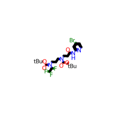 CC(C)(C)OC(=O)N(CCCN(C(=O)OC(C)(C)C)C(F)C(F)F)CCC(=O)Nc1cc(Br)ccn1